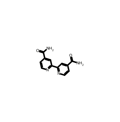 NC(=O)c1ccnc(-c2cc(C(N)=O)ccn2)c1